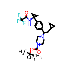 CC(C)(C)OC(=O)N1CCN(C(CC2CC2)c2ccc(C3(NC(=O)C(F)(F)F)CC3)cc2)CC1